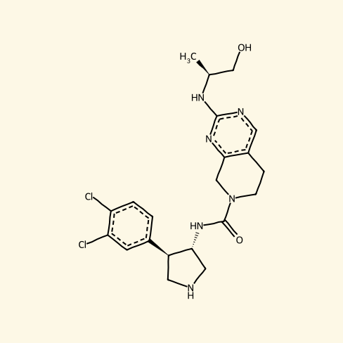 C[C@@H](CO)Nc1ncc2c(n1)CN(C(=O)N[C@@H]1CNC[C@H]1c1ccc(Cl)c(Cl)c1)CC2